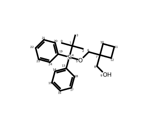 CC(C)(C)[Si](OCC1(CO)CCC1)(c1ccccc1)c1ccccc1